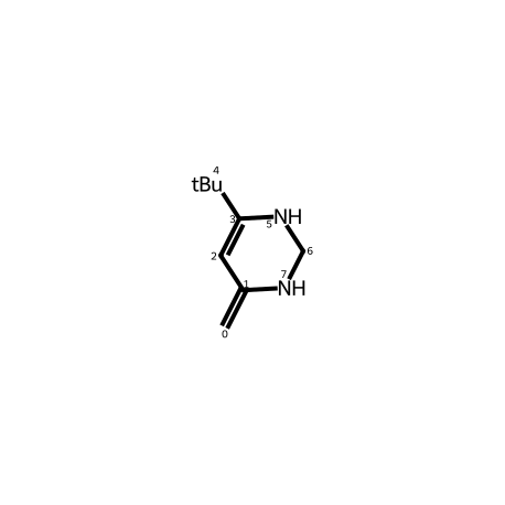 C=C1C=C(C(C)(C)C)NCN1